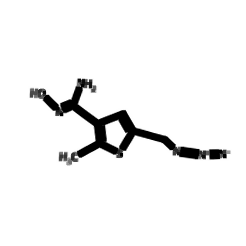 Cc1sc(CN=[N+]=[N-])cc1C(N)=NO